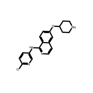 Clc1ccc(Nc2nccc3cc(OC4CCNCC4)ccc23)cn1